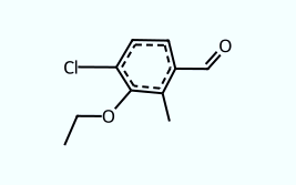 CCOc1c(Cl)ccc(C=O)c1C